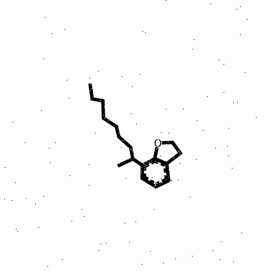 CCCCCCCC(C)c1cc[c]c2c1OCC2